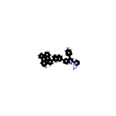 C1=CNC(c2cc(-c3ccccc3)c3cc(-c4ccc5ccc(-c6cccc7c6-c6ccccc6C76c7ccccc7-c7ccccc76)cc5c4)ccc3n2)C=C1